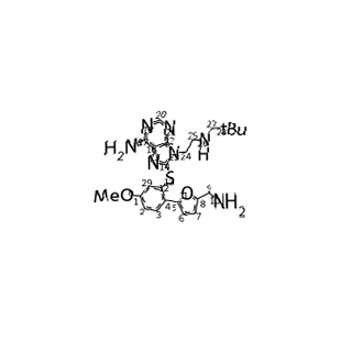 COc1ccc(-c2ccc(CN)o2)c(Sc2nc3c(N)ncnc3n2CCNCC(C)(C)C)c1